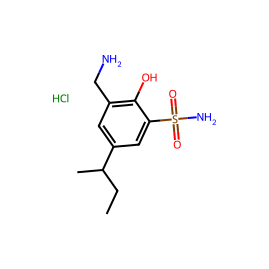 CCC(C)c1cc(CN)c(O)c(S(N)(=O)=O)c1.Cl